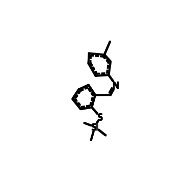 Cc1cccc(/N=C\c2ccccc2S[Si](C)(C)C)c1